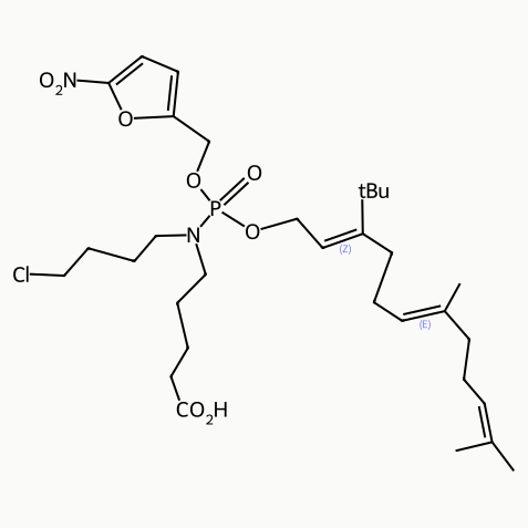 CC(C)=CCC/C(C)=C/CC/C(=C/COP(=O)(OCc1ccc([N+](=O)[O-])o1)N(CCCCCl)CCCCC(=O)O)C(C)(C)C